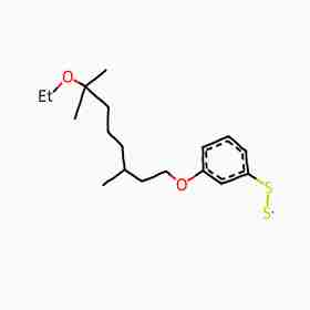 CCOC(C)(C)CCCC(C)CCOc1cccc(S[S])c1